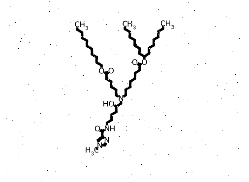 CCCCCCCCCCCOC(=O)CCCCCN(CCCCCCCC(=O)OC(CCCCCCCC)CCCCCCCC)CC(O)CCCCNC(=O)c1cn(C)cn1